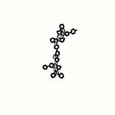 CC1C=CC(c2ccc(N(c3cccc4c3oc3ccccc34)c3cccc4c3sc3c5ccccc5n(-c5ccc(-c6ccc7c(c6)oc6cc(N(c8ccc(-c9ccccc9)cc8)c8cccc9c8sc8c%10ccccc%10n(-c%10ccccc%10)c98)ccc67)cc5)c43)cc2)=CC1